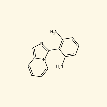 Nc1cccc(N)c1-c1ncc2ccccn12